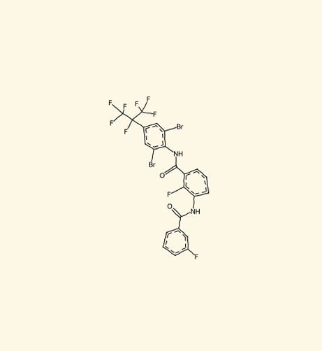 O=C(Nc1cccc(C(=O)Nc2c(Br)cc(C(F)(C(F)(F)F)C(F)(F)F)cc2Br)c1F)c1cccc(F)c1